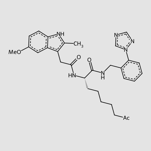 COc1ccc2[nH]c(C)c(CC(=O)N[C@@H](CCCCCC(C)=O)C(=O)NCc3ccccc3-n3cncn3)c2c1